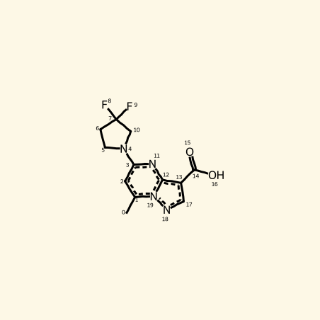 Cc1cc(N2CCC(F)(F)C2)nc2c(C(=O)O)cnn12